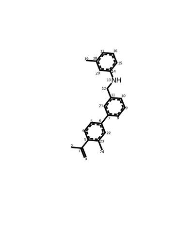 C=C(C)c1ccc(-c2cccc(CNc3cccc(C)c3)c2)cc1C